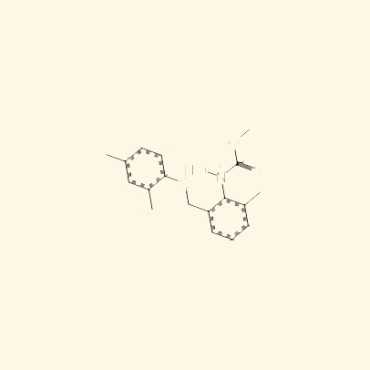 COC(=S)N(O)c1c(C)cccc1COc1ccc(C)cc1C